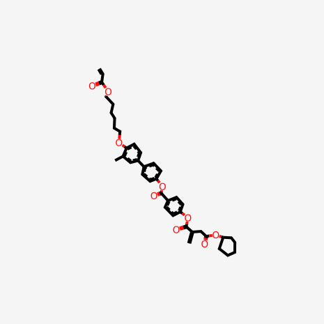 C=CC(=O)OCCCCCCOc1ccc(-c2ccc(OC(=O)c3ccc(OC(=O)C(=C)CC(=O)OC4CCCCC4)cc3)cc2)cc1C